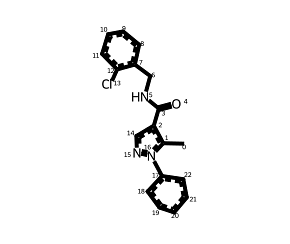 Cc1c(C(=O)NCc2ccccc2Cl)cnn1-c1ccccc1